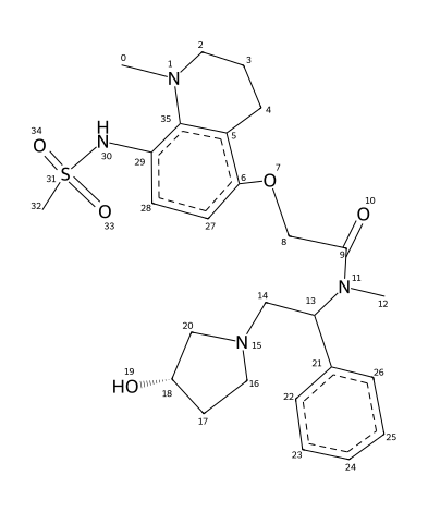 CN1CCCc2c(OCC(=O)N(C)C(CN3CC[C@H](O)C3)c3ccccc3)ccc(NS(C)(=O)=O)c21